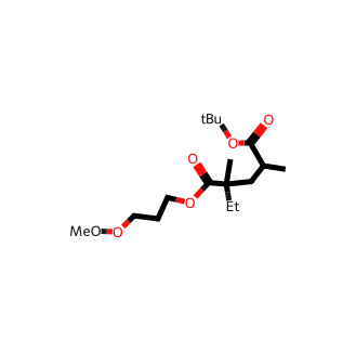 CCC(C)(CC(C)C(=O)OC(C)(C)C)C(=O)OCCCOOC